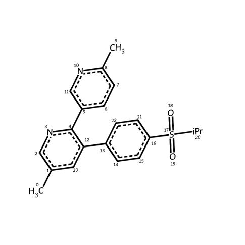 Cc1cnc(-c2ccc(C)nc2)c(-c2ccc(S(=O)(=O)C(C)C)cc2)c1